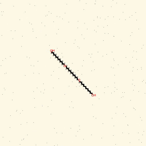 OCCCCCCCCCCCCOCCCCCCCCCCCCOCCCCCCCCCCCCO